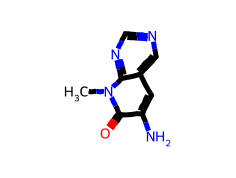 Cn1c(=O)c(N)cc2cncnc21